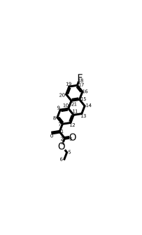 C=C(C(=O)OCC)c1ccc2c(c1)CCc1cc(F)ccc1-2